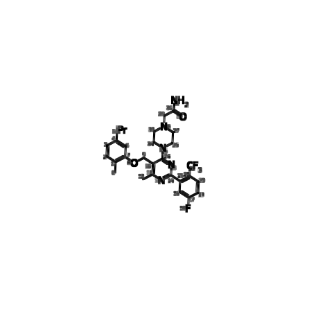 Cc1ccc(C(C)C)cc1OCc1c(C)nc(-c2cc(F)ccc2C(F)(F)F)nc1N1CCN(CC(N)=O)CC1